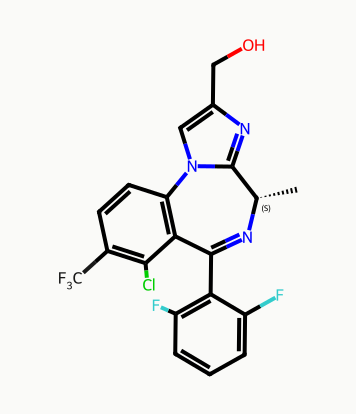 C[C@@H]1N=C(c2c(F)cccc2F)c2c(ccc(C(F)(F)F)c2Cl)-n2cc(CO)nc21